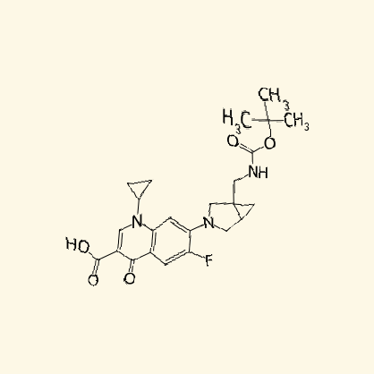 CC(C)(C)OC(=O)NCC12CC1CN(c1cc3c(cc1F)c(=O)c(C(=O)O)cn3C1CC1)C2